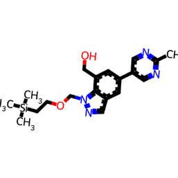 Cc1ncc(-c2cc(CO)c3c(cnn3COCC[Si](C)(C)C)c2)cn1